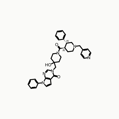 O=C([C@@H]1CCN(Cc2ccncc2)C[C@H]1c1ccccc1)N1CCC(O)(Cn2cnc3c(ccn3-c3ccccc3)c2=O)CC1